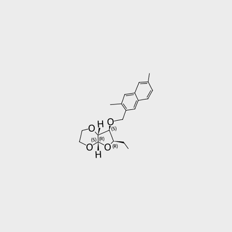 CC[C@H]1O[C@@H]2OCCO[C@@H]2[C@H]1OCc1cc2ccc(C)cc2cc1C